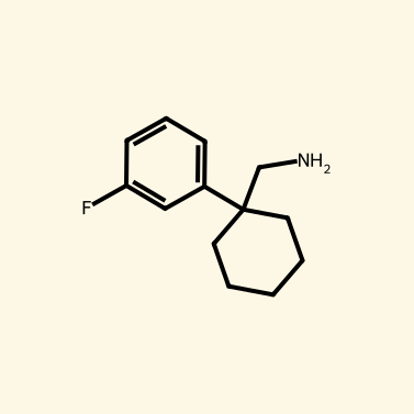 NCC1(c2cccc(F)c2)CCCCC1